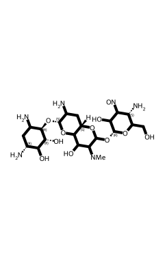 CNC1C(O[C@H]2OC(CO)[C@@H](N)C(N=O)C2O)O[C@H]2CC(N)[C@@H](O[C@@H]3C(N)C[C@@H](N)C(O)[C@H]3O)OC2C1O